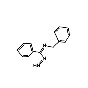 N=N/C(=N\Cc1ccccc1)c1ccccc1